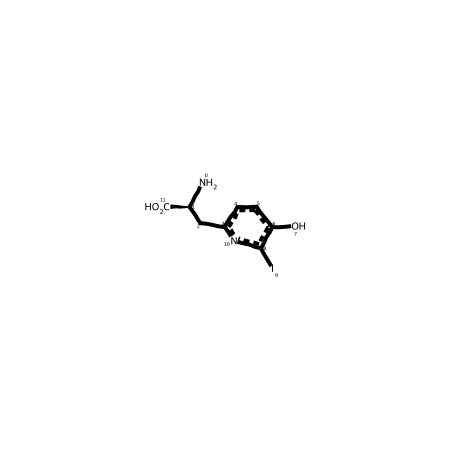 N[C@@H](Cc1ccc(O)c(I)n1)C(=O)O